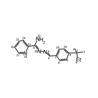 CCC(C)(C)c1ccc(/C=N/N=C(\N)c2ccccn2)cc1